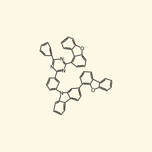 c1ccc(-c2nc(-c3cccc(-n4c5ccccc5c5ccc(-c6cccc7c6oc6ccccc67)cc54)c3)nc(-c3cccc4oc5ccccc5c34)n2)cc1